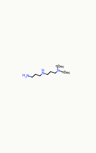 CCCCCCCCCCN(CCCCCCCCCC)CCCNCCCN